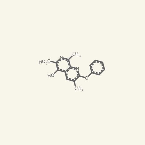 Cc1cc2c(O)c(C(=O)O)nc(C)c2nc1Oc1ccccc1